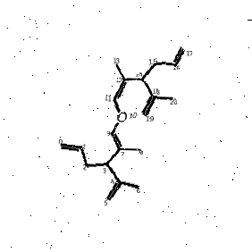 C=CCC(C(=C)C)C(C)=COC=C(C)C(CC=C)C(=C)C